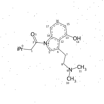 CC(C)CC(=O)n1cc(CCN(C)C)c2c(O)cccc21